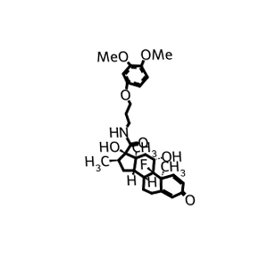 COc1ccc(OCCCNC(=O)[C@@]2(O)[C@H](C)C[C@H]3[C@@H]4CCC5=CC(=O)C=C[C@]5(C)[C@@]4(F)[C@@H](O)C[C@@]32C)cc1OC